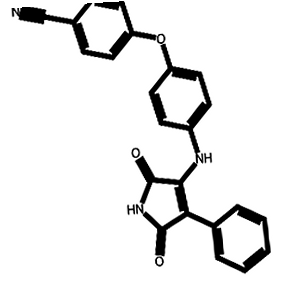 N#Cc1ccc(Oc2ccc(NC3=C(c4ccccc4)C(=O)NC3=O)cc2)cc1